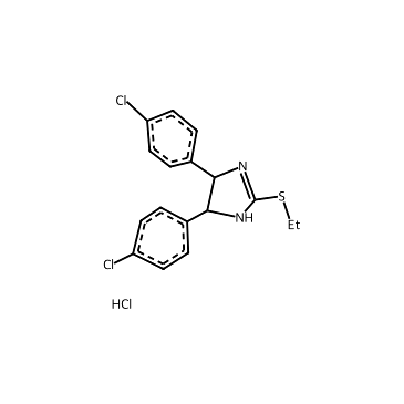 CCSC1=NC(c2ccc(Cl)cc2)C(c2ccc(Cl)cc2)N1.Cl